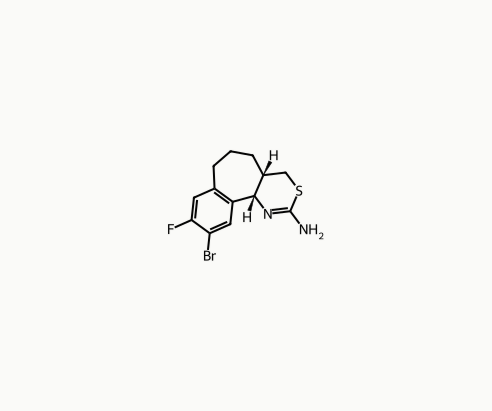 NC1=N[C@@H]2c3cc(Br)c(F)cc3CCC[C@@H]2CS1